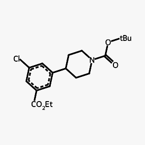 CCOC(=O)c1cc(Cl)cc(C2CCN(C(=O)OC(C)(C)C)CC2)c1